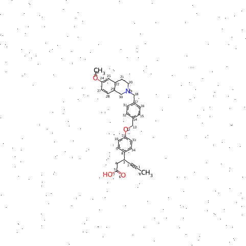 CC#CC(CC(=O)O)c1ccc(OCc2ccc(CN3CCC4C=C(OC)C=CC4C3)cc2)cc1